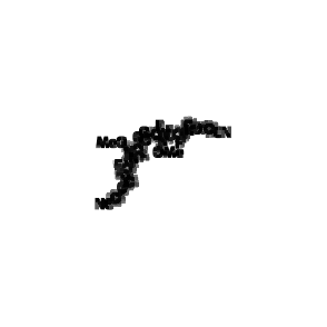 COCCn1c(Cc2c(F)cc(-c3cccc(OCc4ccc(C#N)cc4)n3)c(F)c2F)nc2c(F)cc(C(=O)OC(=O)c3cc(F)c4nc(Cc5c(F)cc(-c6cccc(OCc7ccc(C#N)cc7)n6)c(F)c5F)n(CCOC)c4c3)cc21